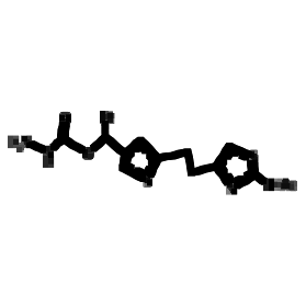 CCC(OC(=O)NN)c1csc(CCc2csc(NC(C)=O)n2)c1